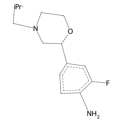 C[C](C)CN1CCOC(c2ccc(N)c(F)c2)C1